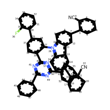 N#Cc1ccccc1-c1ccc2c(c1)c1cc(-c3ccccc3C#N)ccc1n2-c1cc(-c2ccccc2F)ccc1-c1nc(-c2ccccc2)nc(-c2ccccc2)n1